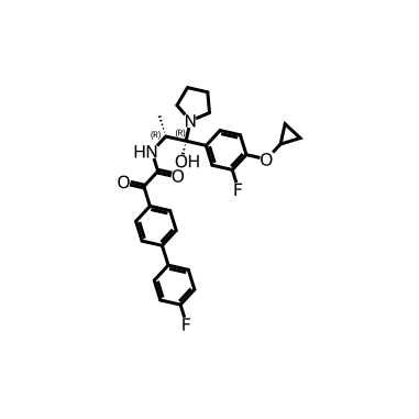 C[C@@H](NC(=O)C(=O)c1ccc(-c2ccc(F)cc2)cc1)[C@](O)(c1ccc(OC2CC2)c(F)c1)N1CCCC1